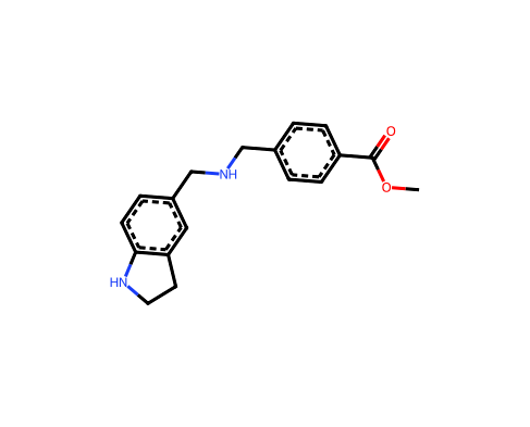 COC(=O)c1ccc(CNCc2ccc3c(c2)CCN3)cc1